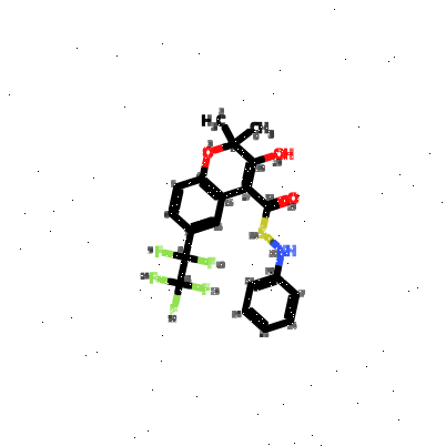 CC1(C)Oc2ccc(C(F)(F)C(F)(F)F)cc2C(C(=O)SNc2ccccc2)=C1O